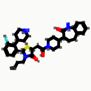 CC(C)(C)CCN1C(=O)[C@H](CC(=O)N2CCC(C3CCc4ccccc4NC3=O)CC2)S[C@H]1c1cccc(F)c1C1CCNCC1